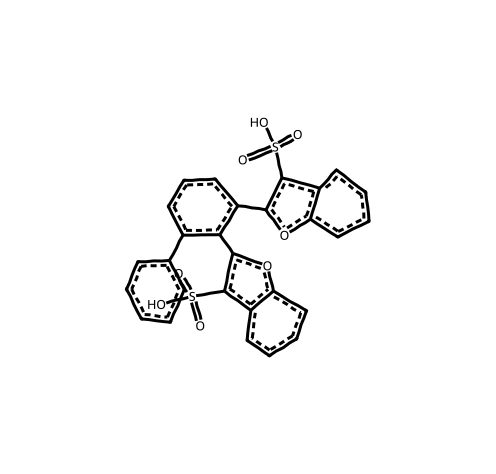 O=S(=O)(O)c1c(-c2cccc(-c3ccccc3)c2-c2oc3ccccc3c2S(=O)(=O)O)oc2ccccc12